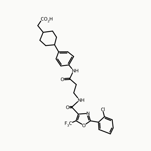 O=C(O)CC1CCC(c2ccc(NC(=O)CCNC(=O)c3nc(-c4ccccc4Cl)oc3C(F)(F)F)cc2)CC1